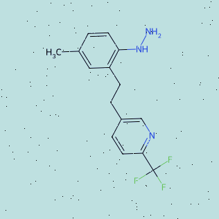 Cc1ccc(NN)c(CCc2ccc(C(F)(F)F)nc2)c1